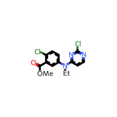 CCN(c1ccc(Cl)c(C(=O)OC)c1)c1ccnc(Cl)n1